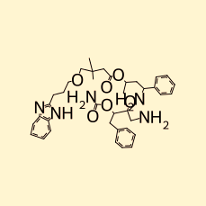 CC(C)(COCCCc1nc2ccccc2[nH]1)CC(=O)OC(COC(CN)C(Cc1ccccc1)OC(N)=O)CC(N)c1ccccc1